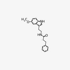 COc1ccc2[nH]cc(CCNC(=O)[CH]Cc3ccccc3)c2c1